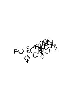 CC(C)(C)[Si](C)(C)OCCC#Cc1sc(-c2ccc(F)cc2)c(-c2ccncc2)c1-c1cccc(NC(=O)c2ccccc2)c1